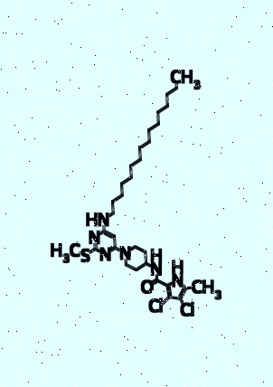 CCCCCCCCCCCCCCCCNc1cc(N2CCC(NC(=O)c3[nH]c(C)c(Cl)c3Cl)CC2)nc(SC)n1